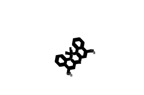 F[B-]1(F)N2C(=Nc3cc(C(F)(F)F)c4ccccc4[n+]31)C=C(C(F)(F)F)c1ccccc12